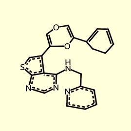 C1=CCCC(C2=COC=C(c3csc4ncnc(NCc5ccccn5)c34)O2)=C1